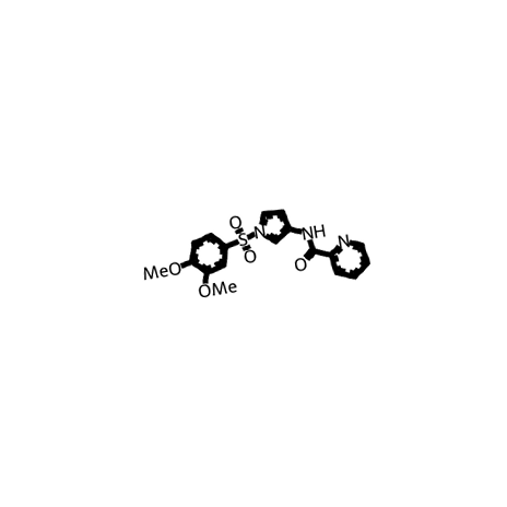 COc1ccc(S(=O)(=O)n2ccc(NC(=O)c3ccccn3)c2)cc1OC